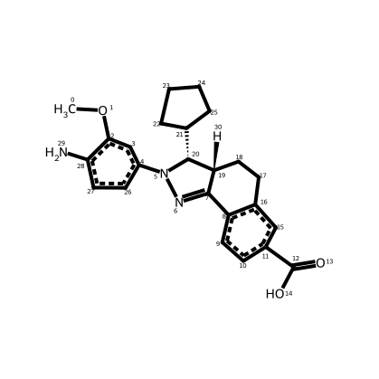 COc1cc(N2N=C3c4ccc(C(=O)O)cc4CC[C@H]3[C@H]2C2CCCC2)ccc1N